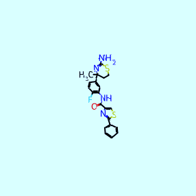 CC1(c2ccc(F)c(NC(=O)c3csc(-c4ccccc4)n3)c2)CCSC(N)=N1